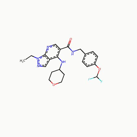 CCn1ncc2c(NC3CCOCC3)c(C(=O)NCc3ccc(OC(F)F)cc3)cnc21